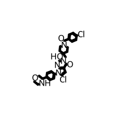 O=C(c1ccc(Cl)cc1)N1CCC(O)(Cn2cnc3c(cc(Cl)n3-c3ccc(C4COCCN4)cc3)c2=O)CC1